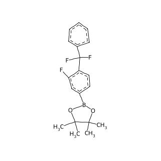 CC1(C)OB(c2ccc(C(F)(F)c3ccccc3)c(F)c2)OC1(C)C